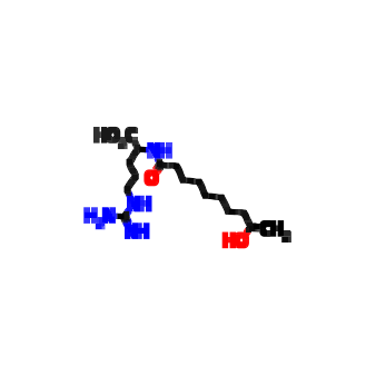 C=C(O)CCCCCCCC(=O)NC(CCCNC(=N)N)C(=O)O